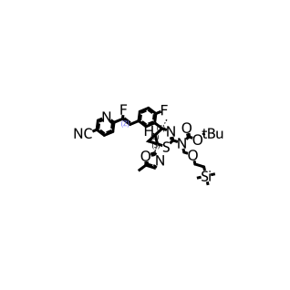 Cc1cnc([C@]23C[C@H]2[C@@](C)(c2cc(/C=C(\F)c4ccc(C#N)cn4)ccc2F)N=C(N(COCC[Si](C)(C)C)C(=O)OC(C)(C)C)S3)o1